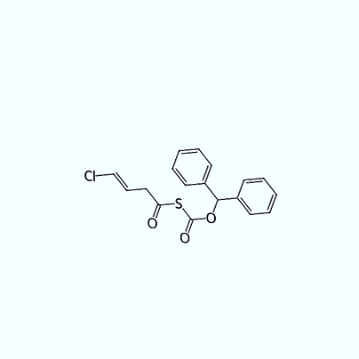 O=C(CC=CCl)SC(=O)OC(c1ccccc1)c1ccccc1